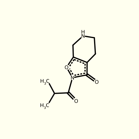 CC(C)C(=O)n1oc2c(c1=O)CCNC2